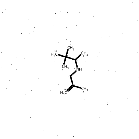 C=C(C)CNC(C)C(C)(C)C